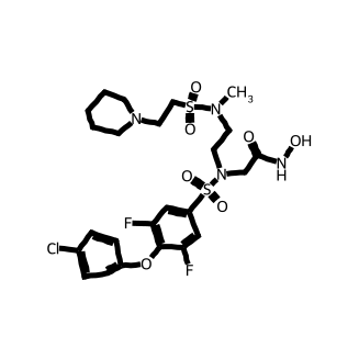 CN(CCN(CC(=O)NO)S(=O)(=O)c1cc(F)c(Oc2ccc(Cl)cc2)c(F)c1)S(=O)(=O)CCN1CCCCC1